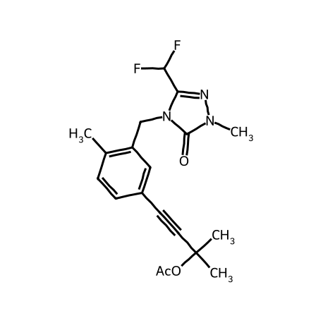 CC(=O)OC(C)(C)C#Cc1ccc(C)c(Cn2c(C(F)F)nn(C)c2=O)c1